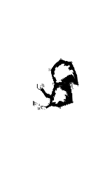 [Li][c]1c(C(F)(F)F)ccc2ccccc12